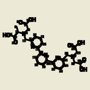 CC(C(=O)O)N(CC(=O)O)Cc1cccc(-c2cccc(-c3cccc(CN(CC(=O)O)CC(=O)O)n3)n2)n1